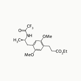 CCOC(=O)CCc1cc(OC)c(C[C@@H](C)NC(=O)C(F)(F)F)cc1OC